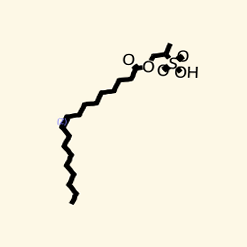 CCCCCCCC/C=C\CCCCCCCC(=O)OCC(C)S(=O)(=O)O